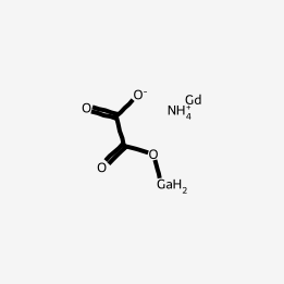 O=C([O-])C(=O)[O][GaH2].[Gd].[NH4+]